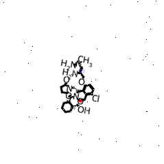 CN(N)/C=C(\N)COc1ccc(Cl)c2c1[C@@H](CN1CCCC1=O)N(C(=O)[C@@H]1CCCC[C@@H]1C(=O)O)CC2